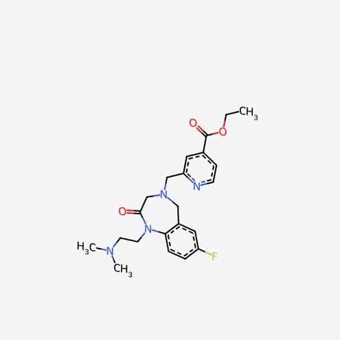 CCOC(=O)c1ccnc(CN2CC(=O)N(CCN(C)C)c3ccc(F)cc3C2)c1